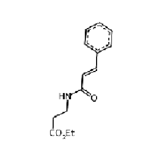 CCOC(=O)CCNC(=O)C=Cc1ccccc1